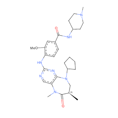 COc1cc(C(=O)NC2CCN(C)CC2)ccc1Nc1ncc2c(n1)N(C1CCCC1)C[C@@H](C)C(=O)N2C